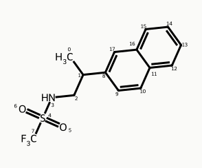 CC(CNS(=O)(=O)C(F)(F)F)c1ccc2ccccc2c1